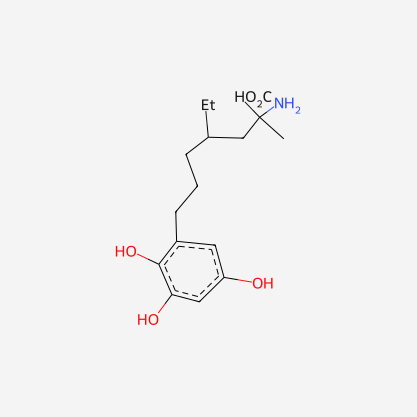 CCC(CCCc1cc(O)cc(O)c1O)CC(C)(N)C(=O)O